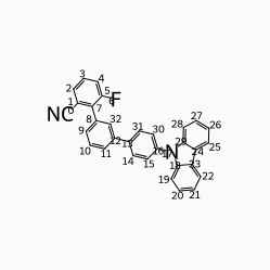 N#Cc1cccc(F)c1-c1cccc(-c2ccc(-n3c4ccccc4c4ccccc43)cc2)c1